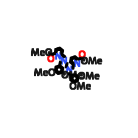 COC(=O)c1cccc(CN(CCN(Cc2cc(OC)cc(OC)c2)Cc2cccc(C(=O)OC)n2)Cc2cc(OC)cc(OC)c2)n1